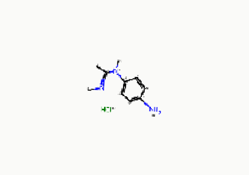 CN=C(C)N(C)c1ccc(N)cc1.Cl